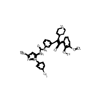 CCOc1cccc(C(=O)C(c2cccc(NC(=O)Nc3cc(C(C)(C)C)nn3-c3ccc(C)cc3)c2)C2CCNCC2)c1OCC